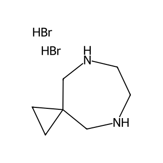 Br.Br.C1CNCC2(CC2)CN1